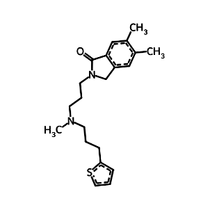 Cc1cc2c(cc1C)C(=O)N(CCCN(C)CCCc1cccs1)C2